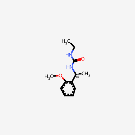 CCNC(=O)N[C@@H](C)c1ccccc1OC